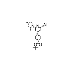 C[C@H]1CN(C)CCN1c1cc(N2CCN(C(=O)OC(C)(C)C)CC2)cc(C#N)n1